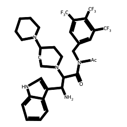 CC(=O)N(Cc1cc(C(F)(F)F)c(C(F)(F)F)c(C(F)(F)F)c1)C(=O)C(C(N)c1c[nH]c2ccccc12)N1CCC(N2CCCCC2)CC1